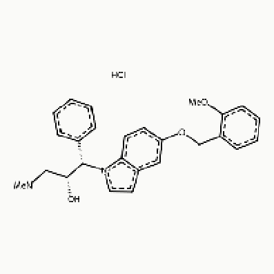 CNC[C@@H](O)[C@H](c1ccccc1)n1ccc2cc(OCc3ccccc3OC)ccc21.Cl